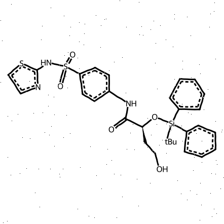 CC(C)(C)[Si](O[C@@H](CCO)C(=O)Nc1ccc(S(=O)(=O)Nc2nccs2)cc1)(c1ccccc1)c1ccccc1